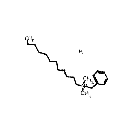 CCCCCCCCCCCC[N+](C)(C)Cc1ccccc1.[H]